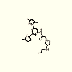 CCCNC1CCN(CC(=O)Nc2cc(-n3nc(C)cc3C)nc(-c3ccc(C)o3)n2)C1